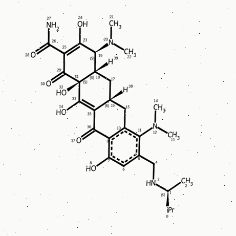 CC(C)[C@H](C)NCc1cc(O)c2c(c1N(C)C)C[C@H]1C[C@H]3[C@H](N(C)C)C(O)=C(C(N)=O)C(=O)[C@@]3(O)C(O)=C1C2=O